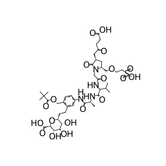 CC(C)[C@H](NC(=O)CN1C(=O)[C@@H](CC(=O)CCC(=O)O)C[C@H]1COCCS(=O)(=O)O)C(=O)N[C@@H](C)C(=O)Nc1ccc(COC(=O)C(C)(C)C)c(CC[C@@H]2O[C@H](C(=O)O)[C@@H](O)[C@H](O)[C@H]2O)c1